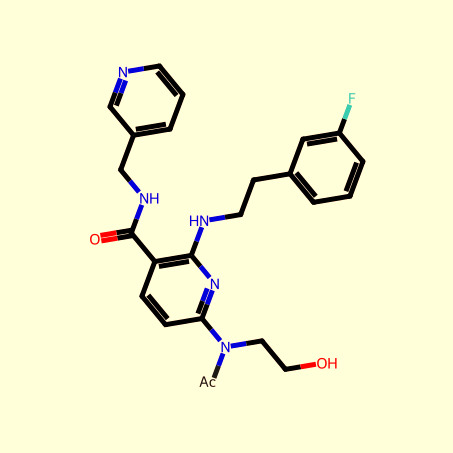 CC(=O)N(CCO)c1ccc(C(=O)NCc2cccnc2)c(NCCc2cccc(F)c2)n1